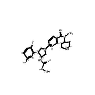 CN(C(=O)c1ccc(N2C[C@H](NC(=O)OC(C)(C)C)[C@@H](c3cc(F)ccc3F)C2)nc1)C1CCNCC1